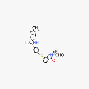 CCCC(C=O)N1Cc2c(SCc3ccc(CNC4(C)CC5CC(C)CC(C5)C4)cc3)cccc2C1=O